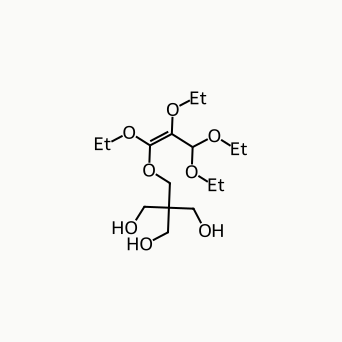 CCOC(OCC(CO)(CO)CO)=C(OCC)C(OCC)OCC